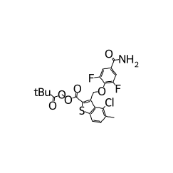 Cc1ccc2sc(C(=O)OOC(=O)C(C)(C)C)c(COc3c(F)cc(C(N)=O)cc3F)c2c1Cl